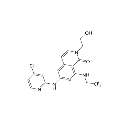 O=c1c2c(NCC(F)(F)F)nc(Nc3cc(Cl)ccn3)cc2ccn1CCO